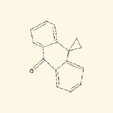 O=C1c2ccccc2C2(CC2)c2ccccc21